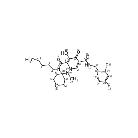 COCCCN1C(=O)c2c(O)c(=O)c(C(=O)NCc3ccc(F)cc3F)cn2N(C)C12CCOCC2